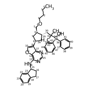 CCCCOC[C@@H]1C[C@H](c2coc3c(N[C@H]4CCc5ccccc54)ncnc23)C[C@H]1CC(C)(C)[Si](O)(c1ccccc1)c1ccccc1